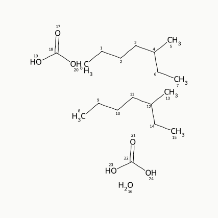 CCCCC(C)CC.CCCCC(C)CC.O.O=C(O)O.O=C(O)O